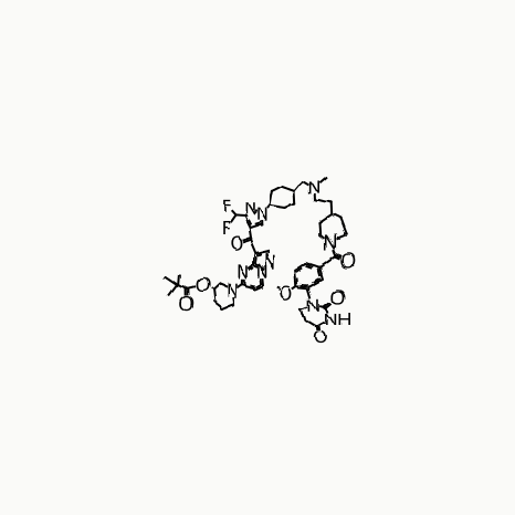 COc1ccc(C(=O)N2CCC(CCN(C)CC3CCC(n4cc(C(=O)c5cnn6ccc(N7CCC[C@H](OC(=O)C(C)(C)C)C7)nc56)c(C(F)F)n4)CC3)CC2)cc1N1CCC(=O)NC1=O